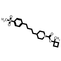 CC1(OC(=O)N2CCC(CCCCc3ccc(S(C)(=O)=O)cc3)CC2)CCC1